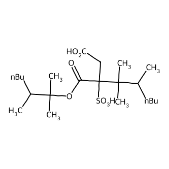 CCCCC(C)C(C)(C)OC(=O)C(CC(=O)O)(C(C)(C)C(C)CCCC)S(=O)(=O)O